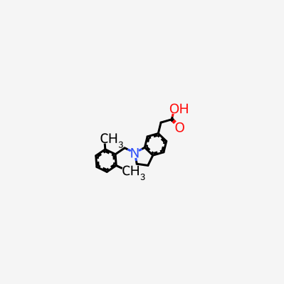 Cc1cccc(C)c1CN1CCc2ccc(CC(=O)O)cc21